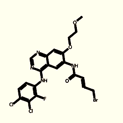 COCCOc1cc2ncnc(Nc3ccc(Cl)c(Cl)c3F)c2cc1NC(=O)C=CCBr